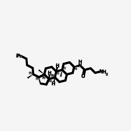 CC(C)CCC[C@@H](C)[C@H]1CC[C@H]2[C@@H]3CCC4C[C@H](NC(=O)CCN)CC[C@]4(C)[C@H]3CC[C@]12C